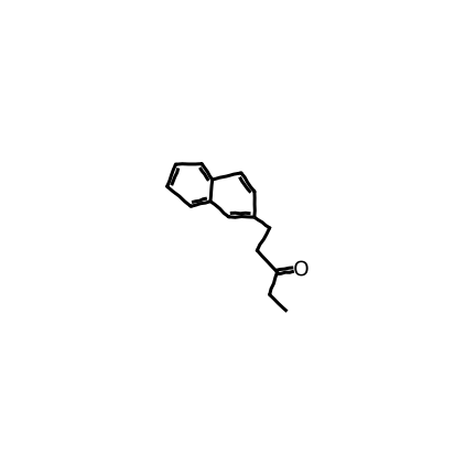 CCC(=O)CCc1ccc2ccccc2c1